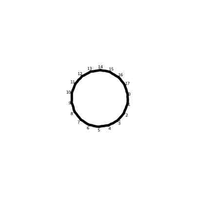 [CH]1CC[CH]CCCCCCCCCCCCCC1